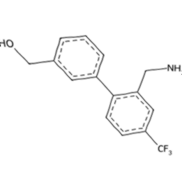 NCc1cc(C(F)(F)F)ccc1-c1cccc(CO)c1